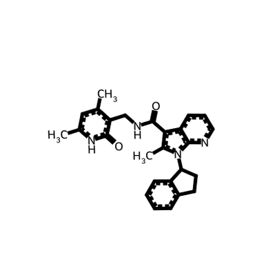 Cc1cc(C)c(CNC(=O)c2c(C)n(C3CCc4ccccc43)c3ncccc23)c(=O)[nH]1